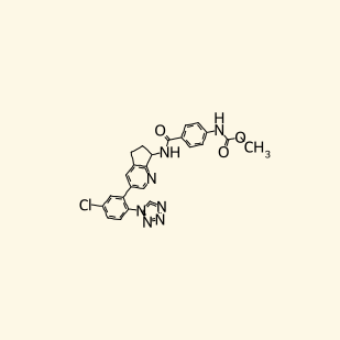 COC(=O)Nc1ccc(C(=O)NC2CCc3cc(-c4cc(Cl)ccc4-n4cnnn4)cnc32)cc1